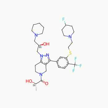 C[C@H](O)C(=O)N1CCc2c(c(-c3ccc(C(F)(F)F)c(SCCN4CCC(F)CC4)c3)nn2C[C@H](O)CN2CCCCC2)C1